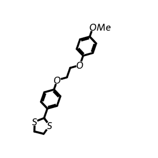 COc1ccc(OCCOc2ccc(C3SCCS3)cc2)cc1